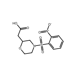 O=C(O)CC1CN(S(=O)(=O)c2ccccc2[N+](=O)[O-])CCO1